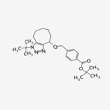 CC(C)(C)OC(=O)c1ccc(COC2CCCCCc3c2nnn3C(C)(C)C)cc1